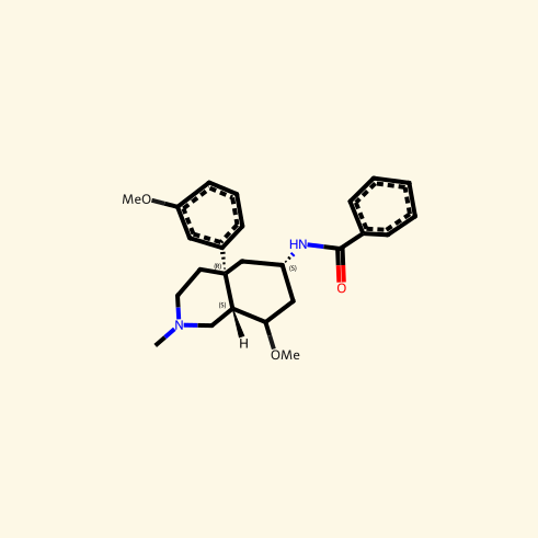 COc1cccc([C@@]23CCN(C)C[C@H]2C(OC)C[C@@H](NC(=O)c2ccccc2)C3)c1